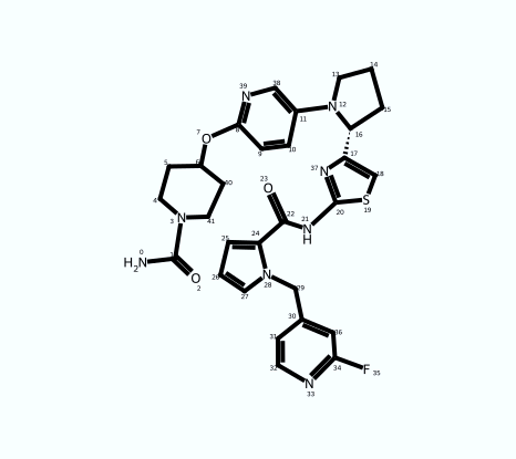 NC(=O)N1CCC(Oc2ccc(N3CCC[C@@H]3c3csc(NC(=O)c4cccn4Cc4ccnc(F)c4)n3)cn2)CC1